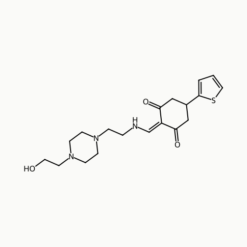 O=C1CC(c2cccs2)CC(=O)C1=CNCCN1CCN(CCO)CC1